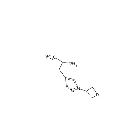 NC(Cc1cnn(C2COC2)c1)C(=O)O